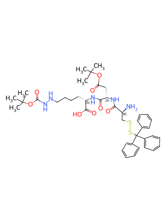 CC(C)(C)OC(=O)C[C@H](NC(=O)[C@@H](N)CSSC(c1ccccc1)(c1ccccc1)c1ccccc1)C(=O)N[C@@H](CCCCNNC(=O)OC(C)(C)C)C(=O)O